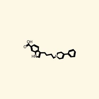 O=C(O)c1ccc2c(CCCCN3CC=C(c4ccccc4)CC3)c[nH]c2c1